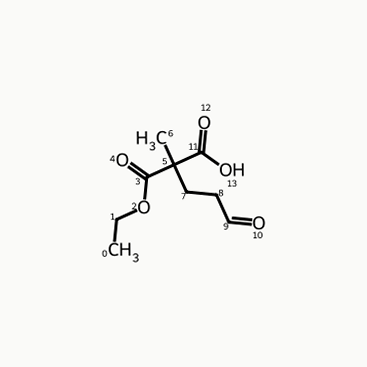 CCOC(=O)C(C)(CCC=O)C(=O)O